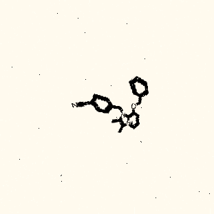 Cc1c(C)[n+]2cccc(OCc3ccccc3)c2n1Cc1ccc(C#N)cc1